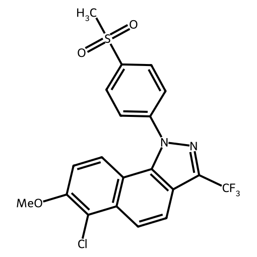 COc1ccc2c(ccc3c(C(F)(F)F)nn(-c4ccc(S(C)(=O)=O)cc4)c32)c1Cl